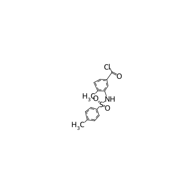 Cc1ccc(S(=O)(=O)Nc2cc(C(=O)Cl)ccc2C)cc1